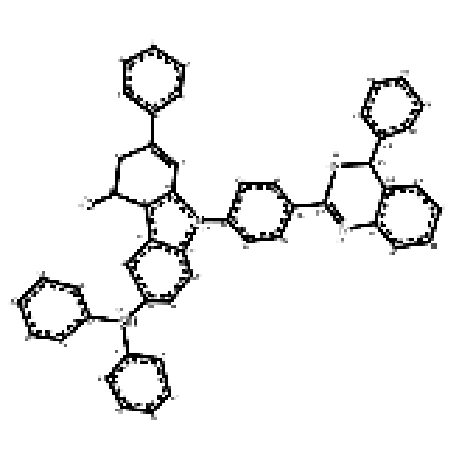 OC1CC(c2ccccc2)=Cc2c1c1cc([SiH](c3ccccc3)c3ccccc3)ccc1n2-c1ccc(C2=Nc3ccccc3C(c3ccccc3)N2)cc1